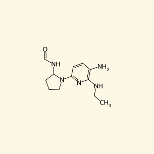 CCNc1nc(N2CCCC2NC=O)ccc1N